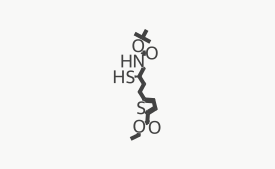 CCOC(=O)c1ccc(CC[C@@H](S)CNC(=O)OC(C)(C)C)s1